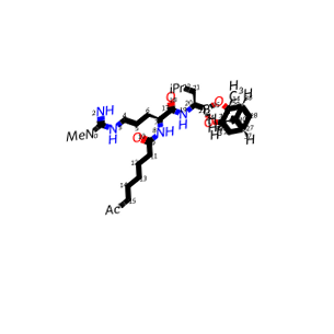 CNC(=N)NCCC[C@H](NC(=O)CCCCCC(C)=O)C(=O)N[C@@H](CC(C)C)B1O[C@@H]2C[C@@H]3C[C@@H](C3(C)C)[C@]2(C)O1